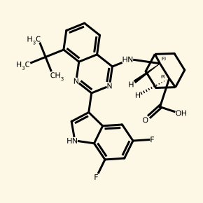 CC(C)(C)c1cccc2c(N[C@@H]3C4CCC(CC4)[C@H]3C(=O)O)nc(-c3c[nH]c4c(F)cc(F)cc34)nc12